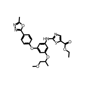 CCOC(=O)c1cnc(Nc2cc(Oc3ccc(-c4nnc(C)o4)cc3)cc(OC(C)COC)c2)s1